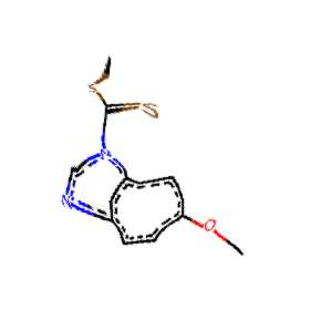 COc1ccc2ncn(C(=S)SC)c2c1